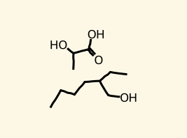 CC(O)C(=O)O.CCCCC(CC)CO